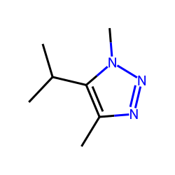 Cc1nnn(C)c1C(C)C